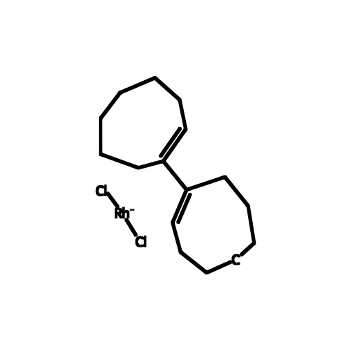 C1=C(C2=CCCCCCC2)CCCCCC1.[Cl][Rh-][Cl]